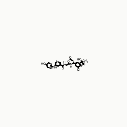 CC(O)(c1cc(Cl)cc([C@H](CC=O)NC(=O)CNC(=O)c2cncc(NC3=NCC(O)CN3)c2)c1)C(F)(F)F